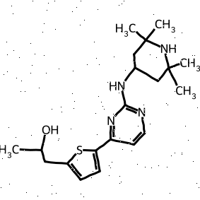 CC(O)Cc1ccc(-c2ccnc(NC3CC(C)(C)NC(C)(C)C3)n2)s1